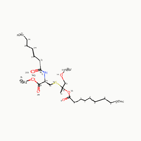 CCCCCCCCCCCCCCCCCC(=O)OC(C)(COCCCC)SC[C@H](NC(=O)CCCCCCCCCCCCCCC)C(=O)OC(C)(C)C